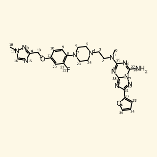 CN(CCN1CCN(c2ccc(OCc3ncn(C)n3)cc2F)CC1)c1nc(N)n2nc(-c3ccco3)nc2n1